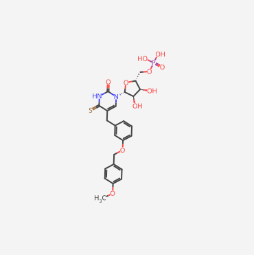 COc1ccc(COc2cccc(Cc3cn([C@@H]4O[C@H](COP(=O)(O)O)[C@@H](O)[C@H]4O)c(=O)[nH]c3=S)c2)cc1